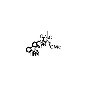 CCCCc1nc2c(c(=O)[nH]c(=O)n2CCOC)n1Cc1ccc(-c2ccccc2-c2nnn[nH]2)cc1